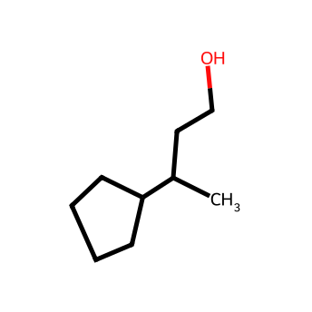 CC(CCO)C1CCCC1